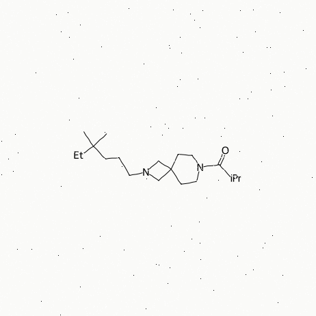 CCC(C)(C)CCCN1CC2(CCN(C(=O)C(C)C)CC2)C1